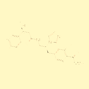 CNC(=O)c1ccc(C[C@@H](CNC(=O)C[C@H](C)c2ccccc2)n2ccnc2)cc1F